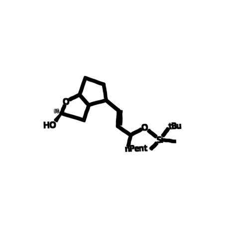 CCCCCC(C=CC1CCC2O[C@H](O)CC12)O[Si](C)(C)C(C)(C)C